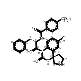 O=C(O)c1ccc(C(=O)N[C@@H](Cc2ccccc2)C(=O)N2C(=O)O[C@]3(CCNC3)c3cc(Cl)ccc32)cc1